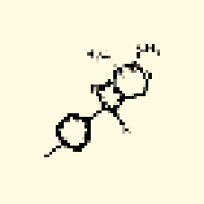 C[C@@H]1OCc2c(Br)c(-c3ccc(F)cc3)nn2[C@@H]1C